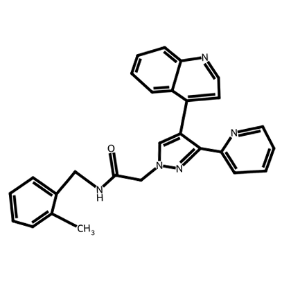 Cc1ccccc1CNC(=O)Cn1cc(-c2ccnc3ccccc23)c(-c2ccccn2)n1